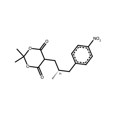 C[C@@H](Cc1ccc([N+](=O)[O-])cc1)CC1C(=O)OC(C)(C)OC1=O